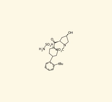 CC(C)(C)c1ccccc1C1CCN(C(=O)[C@H]2C[C@@H](O)CN2C(=O)O)CC1.NS(=O)(=O)O